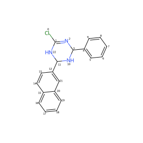 ClC1=NC(c2ccccc2)NC(c2ccc3ccccc3c2)N1